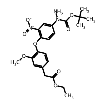 CCOC(=O)Cc1ccc(Oc2ccc(N(N)C(=O)OC(C)(C)C)cc2[N+](=O)[O-])c(OC)c1